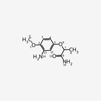 COc1ccc(OC(C)C(N)=O)cc1N